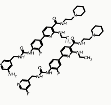 CCNc1nc(-c2ccc(NC(=O)NCc3cncc(F)c3)c(F)c2)ccc1C(=O)NCCN1CCCCC1.CCNc1nc(-c2ccc(NC(=O)NCc3cncc(N)c3)c(F)c2)ccc1C(=O)NCCN1CCCCC1